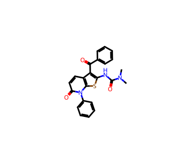 CN(C)C(=O)Nc1sc2c(ccc(=O)n2-c2ccccc2)c1C(=O)c1ccccc1